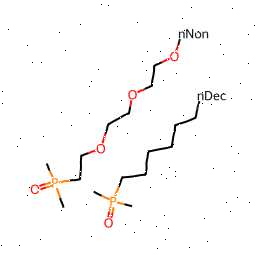 CCCCCCCCCCCCCCCCP(C)(C)=O.CCCCCCCCCOCCOCCOCCP(C)(C)=O